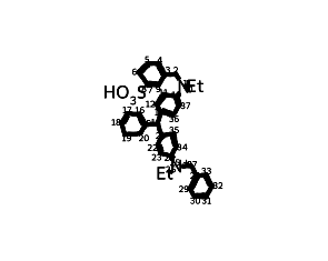 CCN(Cc1cccc(S(=O)(=O)O)c1)c1ccc(C(C2=CC=CCC2)C2C=CC(=[N+](CC)Cc3ccccc3)C=C2)cc1